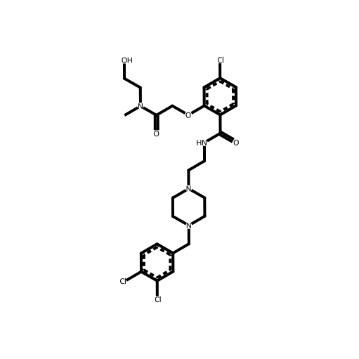 CN(CCO)C(=O)COc1cc(Cl)ccc1C(=O)NCCN1CCN(Cc2ccc(Cl)c(Cl)c2)CC1